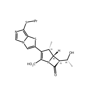 CC(C)Sc1ncn2cc(C3=C(C(=O)O)N4C(=O)[C@H]([C@@H](C)O)[C@H]4[C@H]3C)sc12